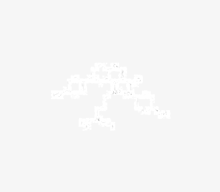 CN(C)CCCNc1c(C(=O)N[C@H]2CC[C@H](O)CC2)cnc2ccc(-c3ccc(O)cc3)cc12